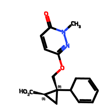 Cn1nc(OC[C@@]2(C3C=CC=CC3)C[C@H]2C(=O)O)ccc1=O